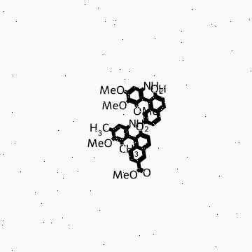 COC(=O)c1ccc2c(-c3c(N)cc(C)c(OC)c3C)c(Oc3ccc4ccc(O)c(-c5c(N)cc(OC)c(OC)c5OC)c4c3)ccc2c1